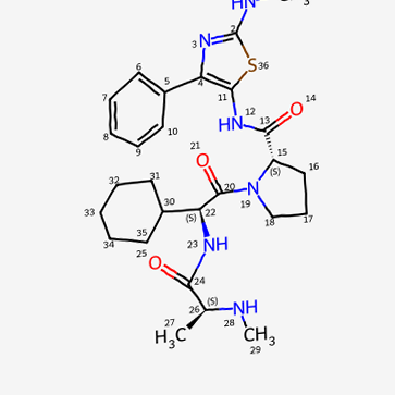 CNc1nc(-c2ccccc2)c(NC(=O)[C@@H]2CCCN2C(=O)[C@@H](NC(=O)[C@H](C)NC)C2CCCCC2)s1